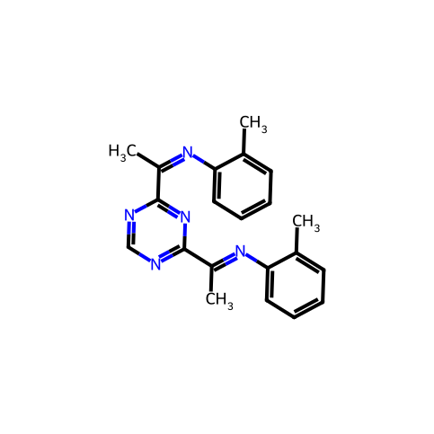 CC(=Nc1ccccc1C)c1ncnc(C(C)=Nc2ccccc2C)n1